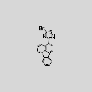 Brc1nc(-c2ccc3c4c(cccc24)-c2ccccc2-3)ns1